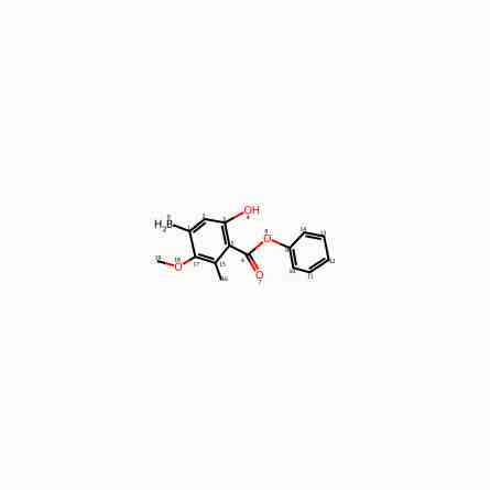 Bc1cc(O)c(C(=O)Oc2ccccc2)c(C)c1OC